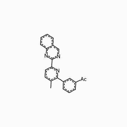 CC(=O)c1cccc(-c2nc(-c3ncc4ccccc4n3)ccc2C)c1